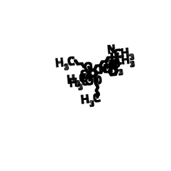 CCCCCOc1c2c(c(OCCCCC)c(OC)c1OC)CN(C)C(CCCC(C#N)(C(C)C)C1Oc3ccccc3O1)C2